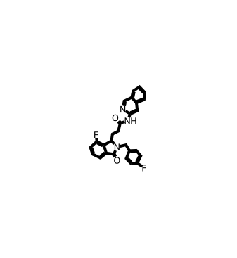 O=C(CCC1c2c(F)cccc2C(=O)N1Cc1ccc(F)cc1)Nc1cc2ccccc2cn1